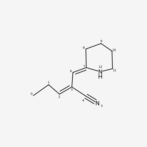 CC/C=C(C#N)\C=C1\CCCCN1